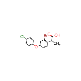 C=C(C(=O)O)c1ccc(Oc2ccc(Cl)cc2)cc1Br